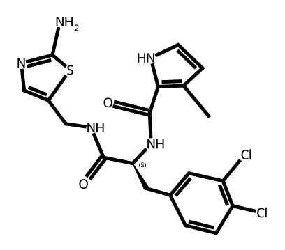 Cc1cc[nH]c1C(=O)N[C@@H](Cc1ccc(Cl)c(Cl)c1)C(=O)NCc1cnc(N)s1